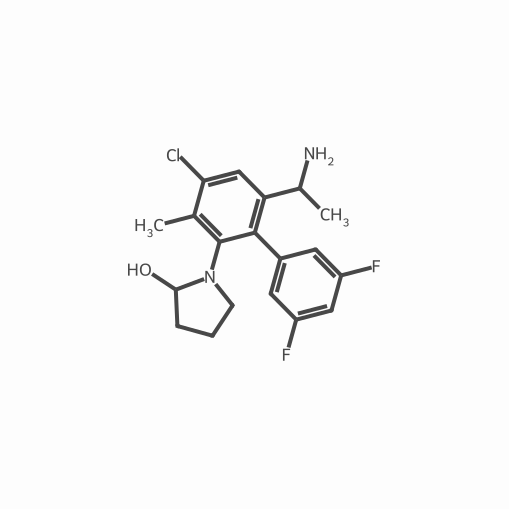 Cc1c(Cl)cc(C(C)N)c(-c2cc(F)cc(F)c2)c1N1CCCC1O